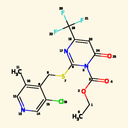 CCOC(=O)n1c(SCc2c(C)cncc2Cl)nc(C(F)(F)F)cc1=O